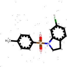 Cc1ccc(S(=O)(=O)N2CCc3ccc(F)cc32)cc1